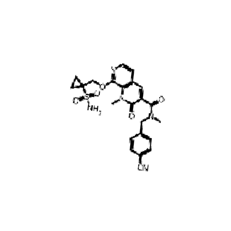 CN(Cc1ccc(C#N)cc1)C(=O)c1cc2ccnc(OCC3(S(N)(=O)=O)CC3)c2n(C)c1=O